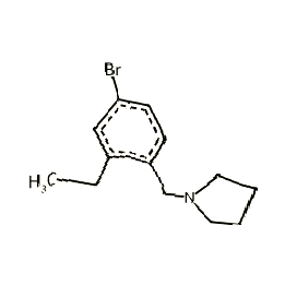 CCc1cc(Br)ccc1CN1CCCC1